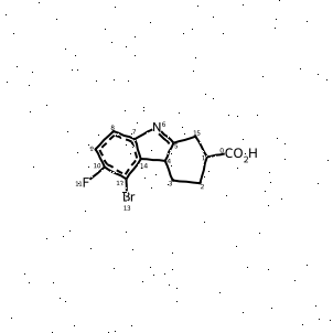 O=C(O)C1CCC2C(=Nc3ccc(F)c(Br)c32)C1